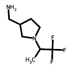 CC(N1CCC(CN)C1)C(F)(F)F